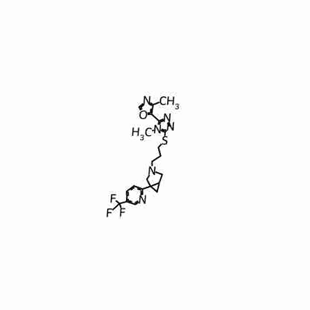 Cc1ncoc1-c1nnc(SCCCN2CC3CC3(c3ccc(C(F)(F)F)cn3)C2)n1C